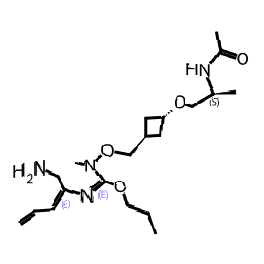 C=C/C=C(CN)/N=C(/OCCC)N(C)OC[C@H]1C[C@H](OC[C@H](C)NC(C)=O)C1